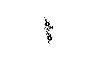 N#Cc1ccc(NC(=O)CSc2nc3cc(Cl)ccc3s2)cc1